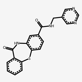 O=C(NCc1cncnc1)c1ccc2c(c1)NC(=O)c1ccccc1S2